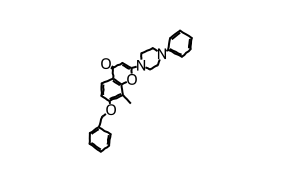 Cc1c(OCc2ccccc2)ccc2c(=O)cc(N3CCN(c4ccccc4)CC3)oc12